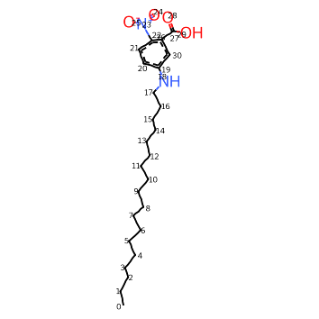 CCCCCCCCCCCCCCCCCCNc1ccc([N+](=O)[O-])c(C(=O)O)c1